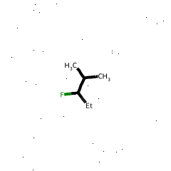 [CH2]CC(F)C(C)C